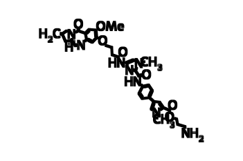 C=C1C[C@H]2C=Nc3cc(OCCCC(=O)Nc4cn(C)c(C(=O)Nc5ccc(-c6cc(C(=O)OCCCN)n(C)c6)cc5)n4)c(OC)cc3C(=O)N2C1